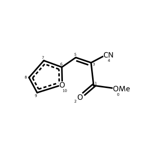 COC(=O)C(C#N)=Cc1ccco1